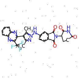 Cc1nn(Nc2ccc3c(c2)C(=O)N(C2CCC(=O)NC2=O)C3=O)c(C)c1-c1nc2ccccc2nc1C(F)(F)F